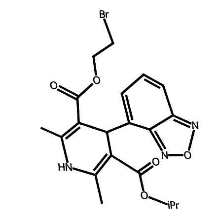 CC1=C(C(=O)OCCBr)C(c2cccc3nonc23)C(C(=O)OC(C)C)=C(C)N1